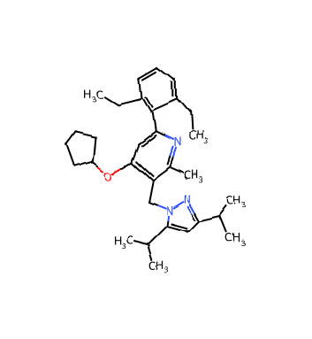 CCc1cccc(CC)c1-c1cc(OC2CCCC2)c(Cn2nc(C(C)C)cc2C(C)C)c(C)n1